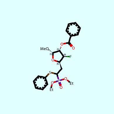 CCOP(=O)(OCC)C(C[C@H]1O[C@H](OC)[C@H](OC(=O)c2ccccc2)[C@H]1F)Sc1ccccc1